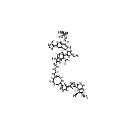 Cc1ncsc1-c1ccc([C@H](CCOP(=O)(O)O)NC(=O)[C@@H]2C[C@@H](O)CN2C(=O)[C@H](C(C)C)N2C=C(OCCCCN3CCCC(c4nccc(-c5noc([C@@]6(C)CCCc7sc(N)c(C#N)c76)n5)n4)CC[C@@H](C)C3)NN2)cc1